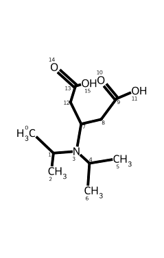 CC(C)N(C(C)C)C(CC(=O)O)CC(=O)O